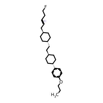 CCCOc1ccc([C@H]2CC[C@H](CC[C@H]3CC[C@H](C/C=C/CCF)CC3)CC2)cc1